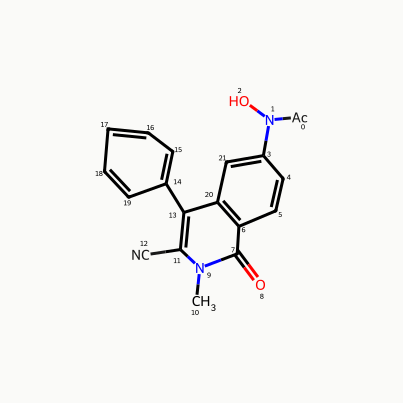 CC(=O)N(O)c1ccc2c(=O)n(C)c(C#N)c(-c3ccccc3)c2c1